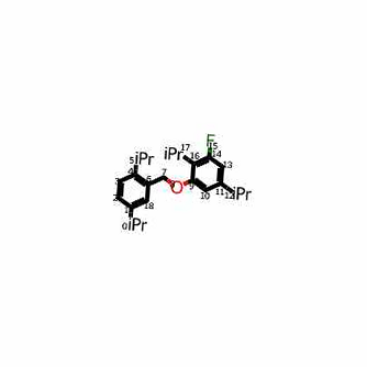 CC(C)c1ccc(C(C)C)c(COc2cc(C(C)C)cc(F)c2C(C)C)c1